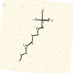 CCCOCCCOCC(F)(F)F